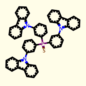 S=P(c1cccc(-n2c3ccccc3c3ccccc32)c1)(c1cccc(-n2c3ccccc3c3ccccc32)c1)c1cccc(-n2c3ccccc3c3ccccc32)c1